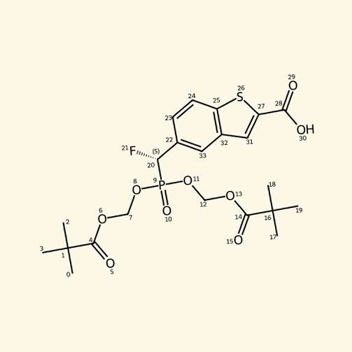 CC(C)(C)C(=O)OCOP(=O)(OCOC(=O)C(C)(C)C)[C@H](F)c1ccc2sc(C(=O)O)cc2c1